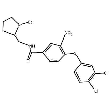 CCN1CCCC1CNC(=O)c1ccc(Sc2ccc(Cl)c(Cl)c2)c([N+](=O)[O-])c1